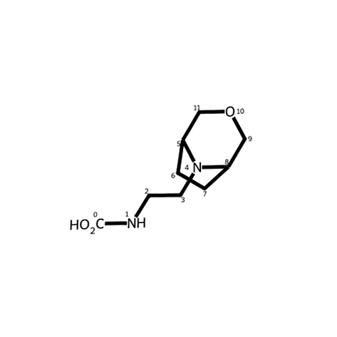 O=C(O)NCCN1C2CCC1COC2